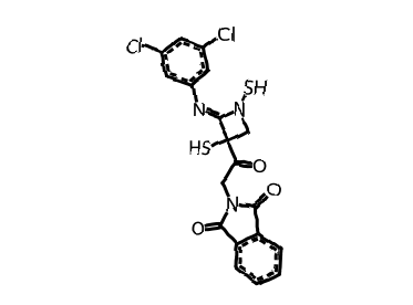 O=C1c2ccccc2C(=O)N1CC(=O)C1(S)CN(S)C1=Nc1cc(Cl)cc(Cl)c1